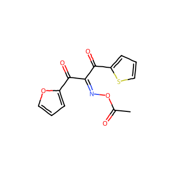 CC(=O)ON=C(C(=O)c1ccco1)C(=O)c1cccs1